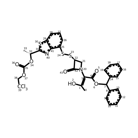 CC(O)=C(C(=O)OC(c1ccccc1)c1ccccc1)N1C[C@H](SSc2cccc3sc([C@@H](C)OC(=O)OCC(Cl)(Cl)Cl)nc23)C1=O